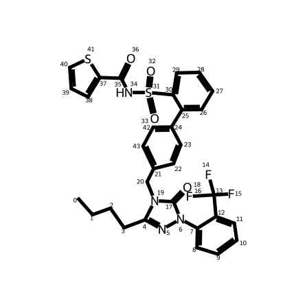 CCCCc1nn(-c2ccccc2C(F)(F)F)c(=O)n1Cc1ccc(-c2ccccc2S(=O)(=O)NC(=O)c2cccs2)cc1